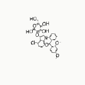 COc1ccc(C(=O)c2ccccc2-n2cc(O[C@@H]3[C@@H](O)[C@@H](O)[C@@H](CO)O[C@H]3O)c3c(Cl)cccc32)c(OC)c1